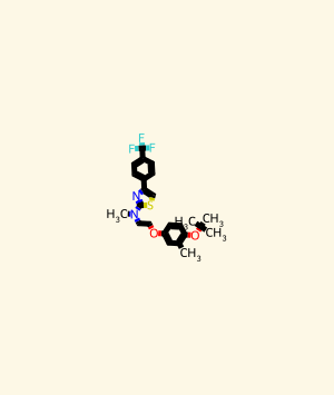 Cc1cc(OCCN(C)c2nc(-c3ccc(C(F)(F)F)cc3)cs2)ccc1OC(C)(C)C